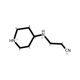 N#CCCNC1CCNCC1